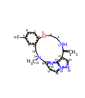 C=C1NCCOc2ccc(F)cc2CN(C)c2ccn3ncc1c3n2